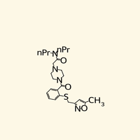 CCCN(CCC)C(=O)CN1CCN(C(=O)c2ccccc2SCc2cc(C)on2)CC1